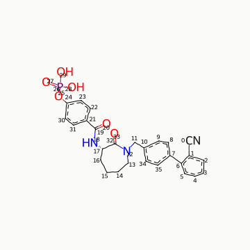 N#Cc1ccccc1-c1ccc(CN2CCCC[C@H](NC(=O)c3ccc(OP(=O)(O)O)cc3)C2=O)cc1